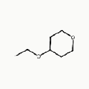 [CH2]COC1CCOCC1